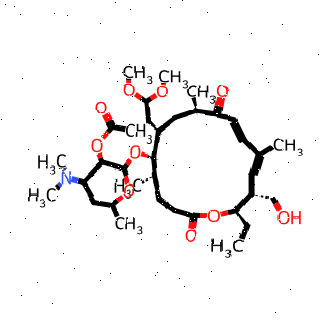 CC[C@H]1OC(=O)CC[C@H](C)[C@@H](OC2OC(C)CC(N(C)C)C2OC(C)=O)[C@@H](CC(OC)OC)C[C@@H](C)C(=O)/C=C/C(C)=C/[C@@H]1CO